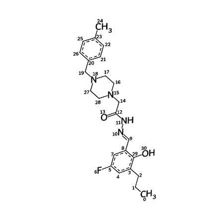 CCCc1cc(F)cc(/C=N/NC(=O)CN2CCN(Cc3ccc(C)cc3)CC2)c1O